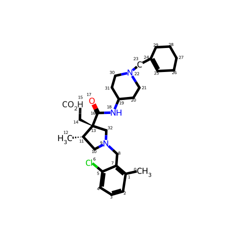 Cc1cccc(Cl)c1CN1C[C@H](C)[C@](CC(=O)O)(C(=O)NC2CCN(CC3=CCCCC3)CC2)C1